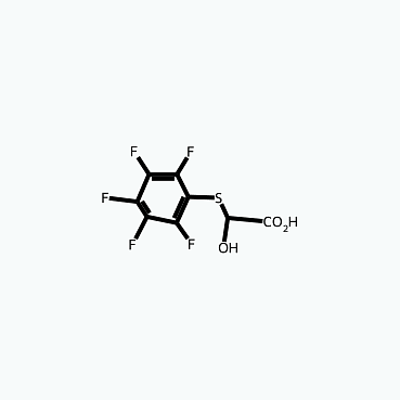 O=C(O)C(O)Sc1c(F)c(F)c(F)c(F)c1F